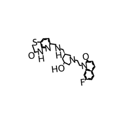 O=C1CSc2ccc(CNC[C@@H]3C[C@H](O)CN(CCn4c(=O)ccc5ccc(F)cc54)C3)nc2N1